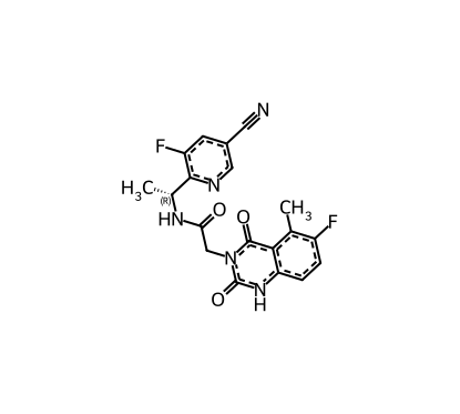 Cc1c(F)ccc2[nH]c(=O)n(CC(=O)N[C@H](C)c3ncc(C#N)cc3F)c(=O)c12